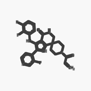 C=CC(=O)N1CCC2(CC1)CNC(=O)c1c2[nH]c(-c2ccncc2F)c1Nc1cccc(F)c1F